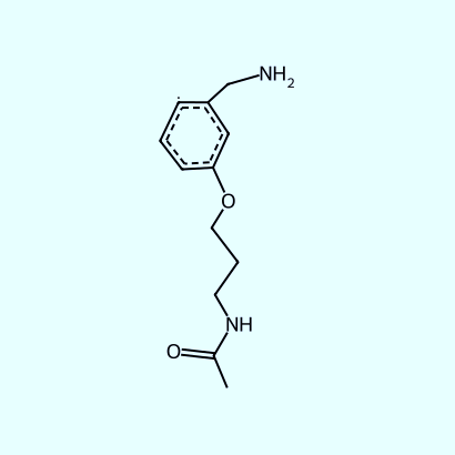 CC(=O)NCCCOc1cc[c]c(CN)c1